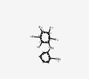 Oc1ccccc1Pc1c(F)c(F)c(F)c(F)c1F